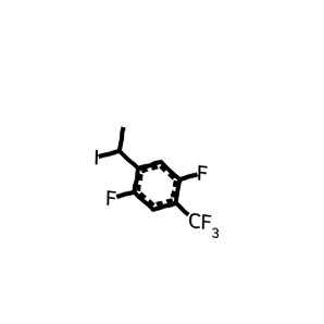 CC(I)c1cc(F)c(C(F)(F)F)cc1F